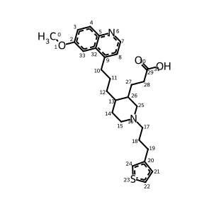 COc1ccc2nccc(CCCC3CCN(CCCc4ccsc4)CC3CCC(=O)O)c2c1